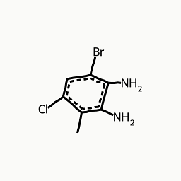 Cc1c(Cl)cc(Br)c(N)c1N